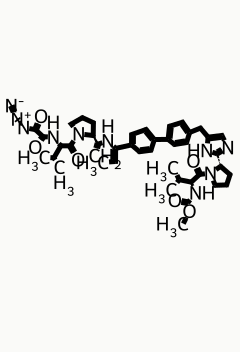 C=C(N/C(=C\C)c1ccc(-c2ccc(Cc3cnc([C@@H]4CCCN4C(=O)[C@@H](NC(=O)OC)C(C)C)[nH]3)cc2)cc1)[C@@H]1CCCN1C(=O)C(NC(=O)C(=O)N=[N+]=[N-])C(C)C